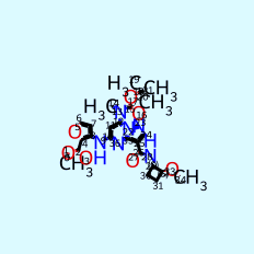 COC(=O)c1occc1Nc1cc(N(C)C(=O)OC(C)(C)C)n2ncc(C(=O)N[C@H]3CC[C@@H]3OC)c2n1